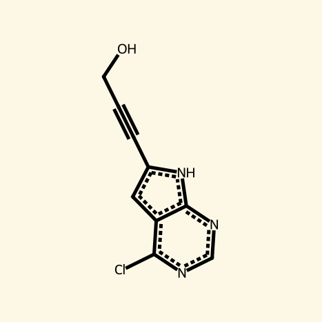 OCC#Cc1cc2c(Cl)ncnc2[nH]1